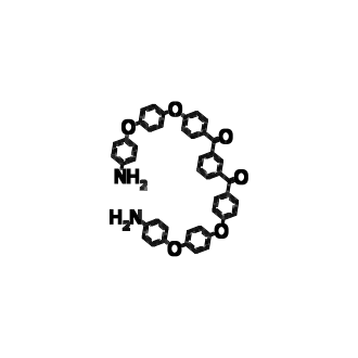 Nc1ccc(Oc2ccc(Oc3ccc(C(=O)c4cccc(C(=O)c5ccc(Oc6ccc(Oc7ccc(N)cc7)cc6)cc5)c4)cc3)cc2)cc1